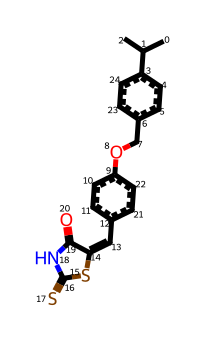 CC(C)c1ccc(COc2ccc(C=C3SC(=S)NC3=O)cc2)cc1